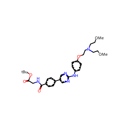 COCCN(CCOC)CCOc1ccc(Nc2ncc(-c3ccc(C(=O)NCC(=O)OC(C)(C)C)cc3)cn2)cc1